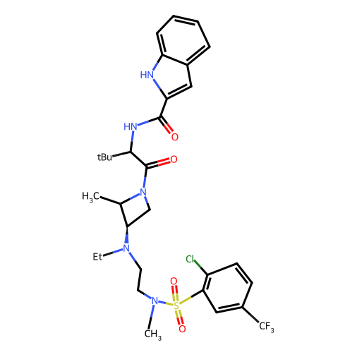 CCN(CCN(C)S(=O)(=O)c1cc(C(F)(F)F)ccc1Cl)[C@@H]1CN(C(=O)C(NC(=O)c2cc3ccccc3[nH]2)C(C)(C)C)C1C